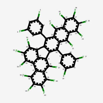 Fc1cc(F)cc(-c2c3c(c(-c4cc(F)cc(F)c4)c4c(F)c5c(F)c(F)c(F)c(F)c5c(F)c24)-c2c(F)c4c(F)c(F)c(F)c(F)c4c4c(F)c(F)c(F)c-3c24)c1